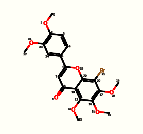 COc1ccc(-c2cc(=O)c3c(OC)c(OC)c(OC)c(Br)c3o2)cc1OC